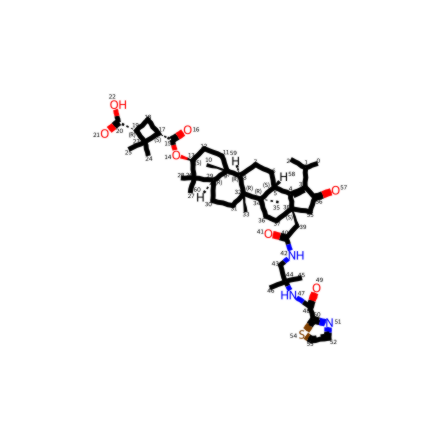 CC(C)C1=C2[C@H]3CC[C@@H]4[C@@]5(C)CC[C@H](OC(=O)[C@H]6C[C@@H](C(=O)O)C6(C)C)C(C)(C)[C@@H]5CC[C@@]4(C)[C@]3(C)CC[C@@]2(CC(=O)NCC(C)(C)NC(=O)c2nccs2)CC1=O